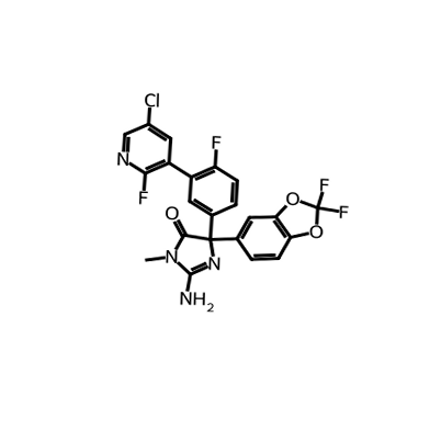 CN1C(=O)C(c2ccc3c(c2)OC(F)(F)O3)(c2ccc(F)c(-c3cc(Cl)cnc3F)c2)N=C1N